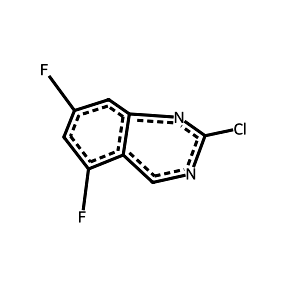 Fc1cc(F)c2cnc(Cl)nc2c1